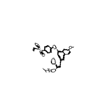 CCS(=O)(=O)c1ccc(Oc2cc(CC(=O)O)cc3ccc(OC)cc23)cc1